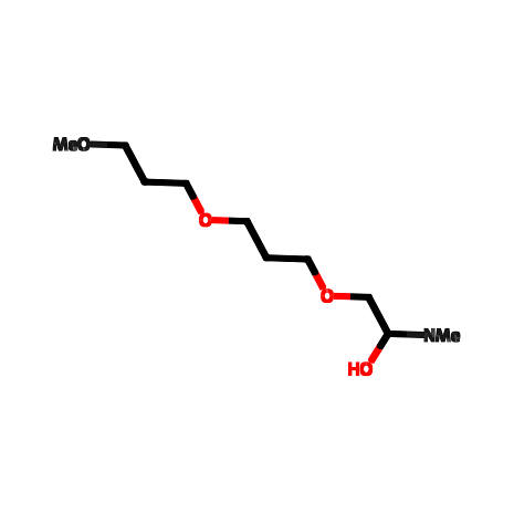 CNC(O)COCCCOCCCOC